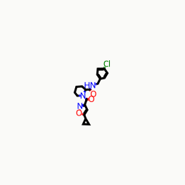 O=C(NCc1ccc(Cl)cc1)C1CCCCN1C(=O)c1cc(C2CC2)on1